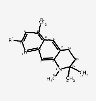 CN1c2cc3nc(Br)cc(C(F)(F)F)c3cc2CCC1(C)C